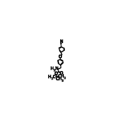 CC(C)(C)OC(=O)[C@@H](N)Cc1ccc(OCc2ccc(C#N)cc2)cc1